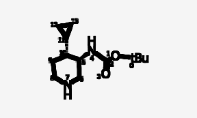 CC(C)(C)OC(=O)N[C@H]1CNCC[C@@H]1C1CC1